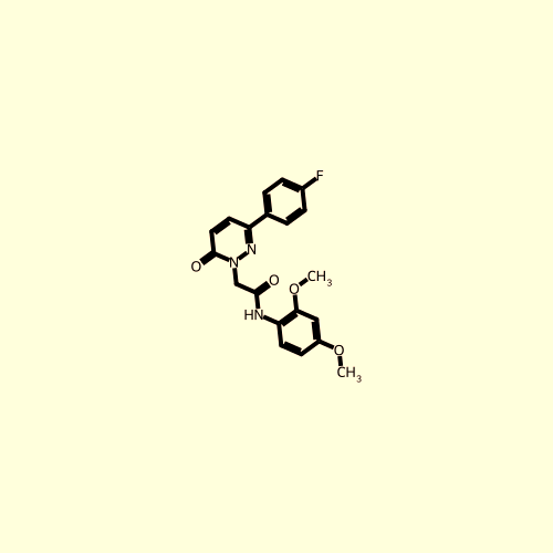 COc1ccc(NC(=O)Cn2nc(-c3ccc(F)cc3)ccc2=O)c(OC)c1